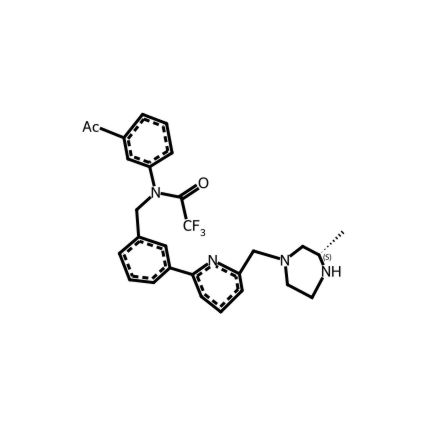 CC(=O)c1cccc(N(Cc2cccc(-c3cccc(CN4CCN[C@@H](C)C4)n3)c2)C(=O)C(F)(F)F)c1